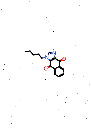 CCCCCn1cnc2c1C(=O)c1ccccc1C2=O